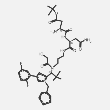 CC(C)(C)OC(=O)C[C@H](N)C(=O)N[C@@H](CC(N)=O)C(=O)NCCCN(C(=O)CO)[C@@H](c1cc(-c2cc(F)ccc2F)cn1Cc1ccccc1)C(C)(C)C